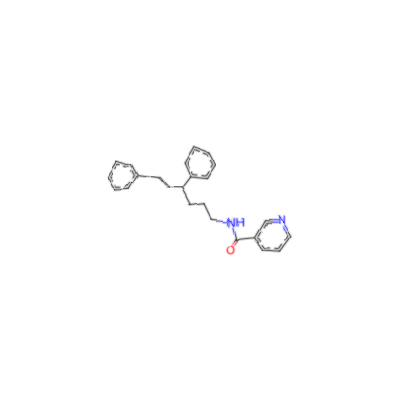 O=C(NCCCC(CCc1ccccc1)c1ccccc1)c1cccnc1